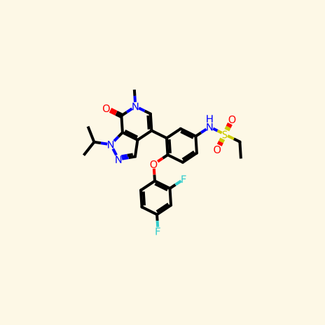 CCS(=O)(=O)Nc1ccc(Oc2ccc(F)cc2F)c(-c2cn(C)c(=O)c3c2cnn3C(C)C)c1